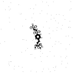 CO[Si](CCc1ccc(S(=O)(=O)N=CS(C)(=O)=O)cc1)(OC)OC